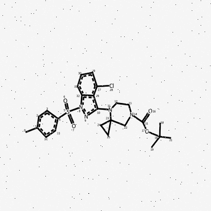 Cc1ccc(S(=O)(=O)n2nc(N3CCN(C(=O)OC(C)(C)C)CC34CC4)c3c(Cl)cccc32)cc1